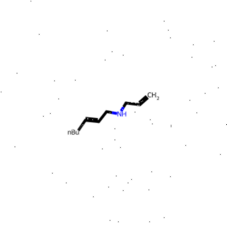 C=CCNCC=CCCCC